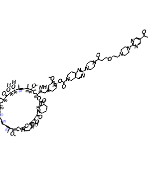 CO[C@H]1C[C@@H]2CC[C@@H](C)[C@@](O)(O2)C(=O)C(=O)N2CCCC[C@H]2C(=O)O[C@H]([C@H](N)C[C@@H]2CC[C@@H](OC(=O)N3CCc4nc(N5CCN(C(=O)CCOCCN6CCN(c7ncc(C(C)=O)cn7)CC6)CC5)ncc4C3)[C@H](OC)C2)C[C@@H](OC)[C@H](C)/C=C(\C)[C@@H](O)[C@@H](O)C(=O)[C@H](C)C[C@H](C)/C=C/C=C/C=C/1C